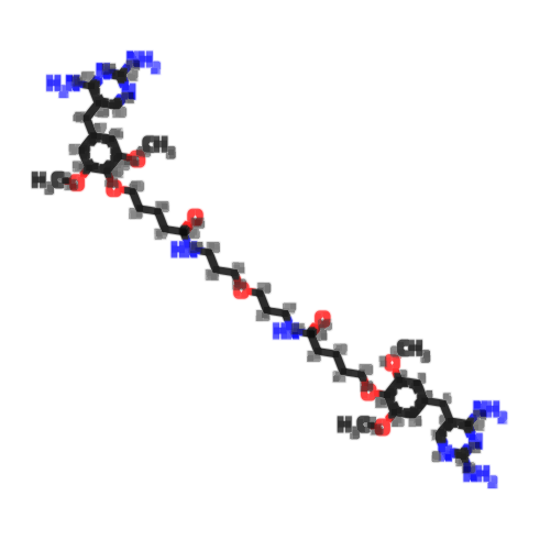 COc1cc(Cc2cnc(N)nc2N)cc(OC)c1OCCCCC(=O)NCCCOCCCNC(=O)CCCCOc1c(OC)cc(Cc2cnc(N)nc2N)cc1OC